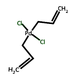 C=C[CH2][Pd]([Cl])([Cl])[CH2]C=C